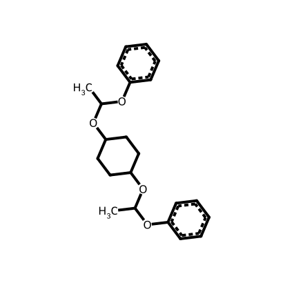 CC(Oc1ccccc1)OC1CCC(OC(C)Oc2ccccc2)CC1